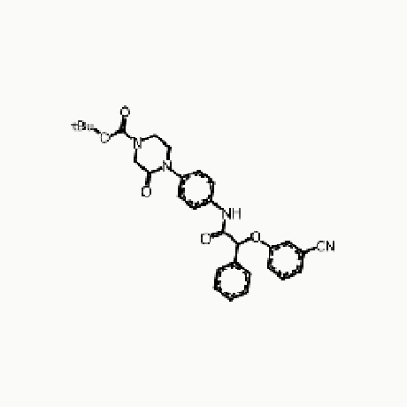 CC(C)(C)OC(=O)N1CCN(c2ccc(NC(=O)C(Oc3cccc(C#N)c3)c3ccccc3)cc2)C(=O)C1